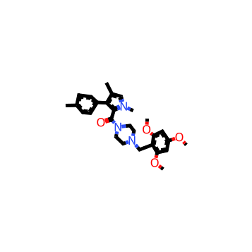 COc1cc(OC)c(CN2CCN(C(=O)c3c(-c4ccc(C)cc4)c(C)cn3C)CC2)c(OC)c1